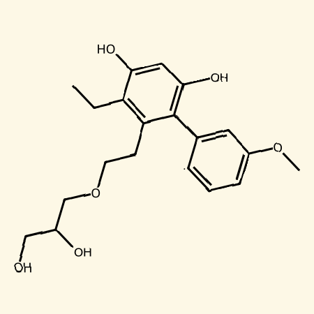 CCc1c(O)cc(O)c(-c2[c]ccc(OC)c2)c1CCOCC(O)CO